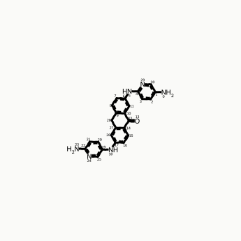 Nc1ccc(Nc2ccc3c(c2)C(=O)c2ccc(Nc4ccc(N)nc4)cc2C3)nc1